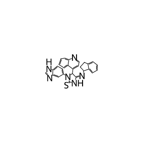 S=C1N/C(=N/C2CCc3ccccc32)C(c2ccnc3ccccc23)N1c1ccc2[nH]cnc2c1